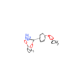 COc1ccc(C(CN)OC(C)=O)cc1